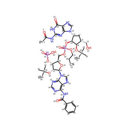 CC(C)C(=O)Nc1nc2c(ncn2[C@@H]2C[C@H](CO)[C@@H](O[Si](C)(C)C(C)(C)C)[C@H]2OP(=O)(OCCC#N)OC[C@H]2O[C@@H](n3cnc4c(NC(=O)c5ccccc5)ncnc43)[C@H](O[Si](C)(C)C(C)(C)C)[C@@H]2O[PH](=O)O)c(=O)[nH]1